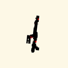 C=C(CCCCCCCC)CCCCCCCCCCc1ccc(CCCCCCCCCCC(=C)CC(CCCCCC)CCCCCC)c(CCC(=C)CCCNC)c1